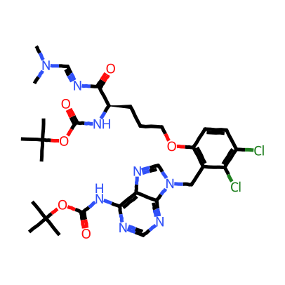 CN(C)/C=N/C(=O)[C@@H](CCCOc1ccc(Cl)c(Cl)c1Cn1cnc2c(NC(=O)OC(C)(C)C)ncnc21)NC(=O)OC(C)(C)C